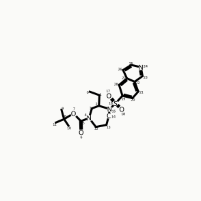 CCC1CN(C(=O)OC(C)(C)C)CCCN1S(=O)(=O)c1ccc2cnccc2c1